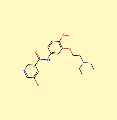 CCN(CC)CCOc1cc(NC(=O)c2cncc(Br)c2)ccc1OC